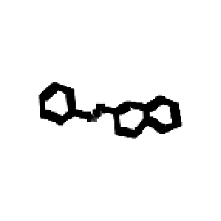 [c]1ccccc1/N=N/c1ccc2ccccc2c1